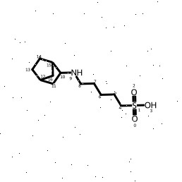 O=S(=O)(O)CCCCCNC1CC2CCC1C2